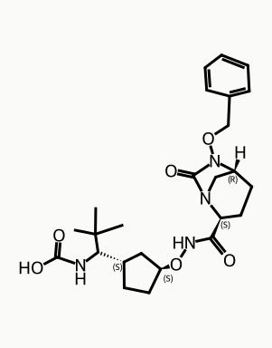 CC(C)(C)C(NC(=O)O)[C@H]1CC[C@H](ONC(=O)[C@@H]2CC[C@@H]3CN2C(=O)N3OCc2ccccc2)C1